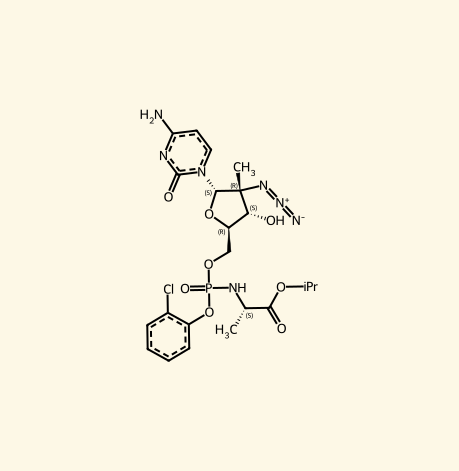 CC(C)OC(=O)[C@H](C)NP(=O)(OC[C@H]1O[C@H](n2ccc(N)nc2=O)[C@](C)(N=[N+]=[N-])[C@@H]1O)Oc1ccccc1Cl